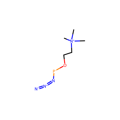 C[N+](C)(C)CCO[P-]N=[N+]=[N-]